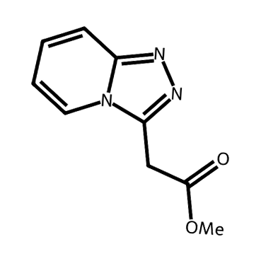 COC(=O)Cc1nnc2ccccn12